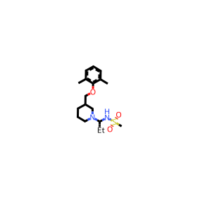 CCC(NS(C)(=O)=O)N1CCCC(COc2c(C)cccc2C)C1